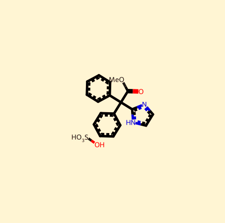 COC(=O)C(c1ccccc1)(c1ccccc1)c1ncc[nH]1.O=S(=O)(O)O